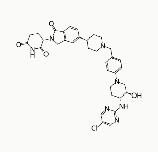 O=C1CCC(N2Cc3cc(C4CCN(Cc5ccc(N6CC[C@@H](Nc7ncc(Cl)cn7)[C@H](O)C6)cc5)CC4)ccc3C2=O)C(=O)N1